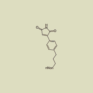 CCCCCCCCCCCCc1ccc(C2=CC(=O)NC2=O)cc1